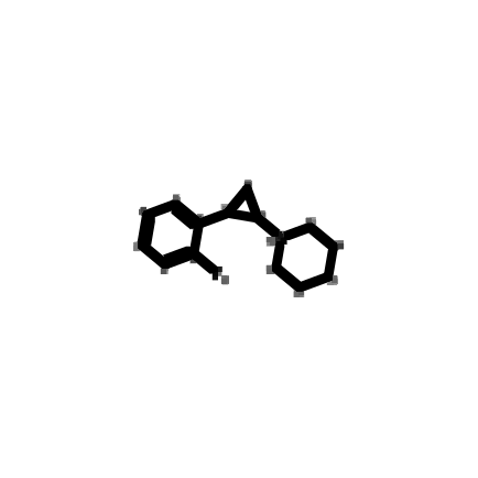 Fc1ccccc1C1CC1N1CCCCC1